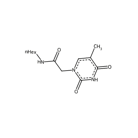 CCCCCCNC(=O)Cn1cc(C)c(=O)[nH]c1=O